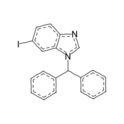 Ic1ccc2ncn(C(c3ccccc3)c3ccccc3)c2c1